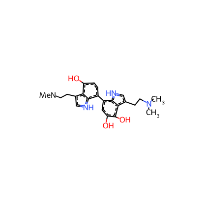 CNCCc1c[nH]c2c(-c3cc(O)c(O)c4c(CCN(C)C)c[nH]c34)ccc(O)c12